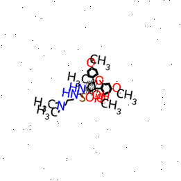 CCN(CC)CCCNC(=S)N[C@H]1[C@@H](O)[C@@]2(O)c3c(OC)cc(OC)cc3O[C@@]2(c2ccc(OC)cc2)[C@@H]1C